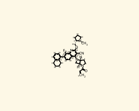 C=CC(=O)N1CC[C@@H]2[C@H]1CN2c1c(C#N)c(OC[C@@H]2CCCN2C)nc2c(F)c(-c3cccc4c3CCCC4)ccc12